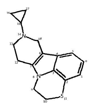 c1cc2c3c(c1)c1c(n3CCS2)CCN(C2CC2)C1